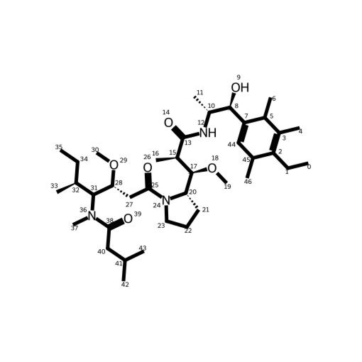 CCC1=C(C)C(C)C([C@H](O)[C@@H](C)NC(=O)[C@H](C)[C@@H](OC)[C@@H]2CCCN2C(=O)C[C@@H](OC)C([C@@H](C)CC)N(C)C(=O)CC(C)C)=CC1C